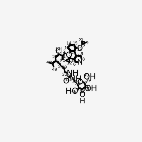 C=C(COC1(c2cnccc2-c2ccccc2OC2CC2)CC1)/C(Cl)=C\C(CCCCNC(=O)NC[C@@H]1O[C@H](CO)[C@@H](O)[C@H](O)[C@H]1O)=C(C)C